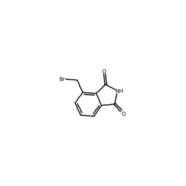 O=C1NC(=O)c2c(CBr)cccc21